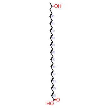 CC(O)C/C=C/C=C/C=C/C=C/C=C/C=C/C=C/C=C/C=C/C=C/C=C/C=C/C(=O)O